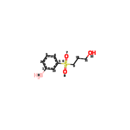 Bc1cccc(S(=O)(=O)CCCO)c1